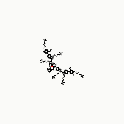 CCc1cc(OCOCC[Si](C)(C)C)c(F)cc1-c1ccc2c(-c3nc4c(n3COCC[Si](C)(C)C)CN(c3nnccc3C(=O)c3ccnnc3N3Cc5nc(-c6nn(COCC[Si](C)(C)C)c7cc(-c8cc(F)c(OCOCC[Si](C)(C)C)cc8CC)ccc67)n(COCC[Si](C)(C)C)c5C3)C4)nn(COCC[Si](C)(C)C)c2c1